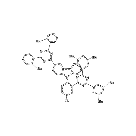 CC(C)(C)c1cc(-c2nc(-c3cc(C(C)(C)C)cc(C(C)(C)C)c3)nc(-c3cc(C#N)ccc3-n3c4ccccc4c4cc(-c5nc(-c6ccccc6C(C)(C)C)nc(-c6ccccc6C(C)(C)C)n5)ccc43)n2)cc(C(C)(C)C)c1